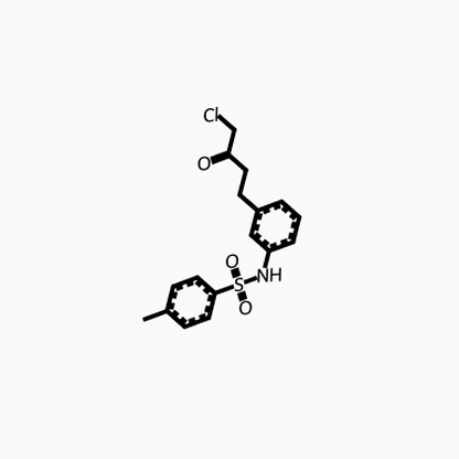 Cc1ccc(S(=O)(=O)Nc2cccc(CCC(=O)CCl)c2)cc1